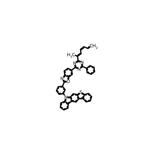 C=C/C=C\C=C(/C)c1nc(-c2ccccc2)nc(-c2ccc3nc(-c4cccc(-n5c6ccccc6c6cc7c(cc65)sc5ccccc57)c4)oc3c2)n1